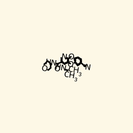 CC(C)Nc1c(C(=O)NC2CCOCC2)cnc2c1Oc1cc(C#N)ccc1O2